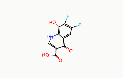 O=C(O)c1c[nH]c2c(O)c(F)c(F)cc2c1=O